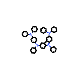 c1ccc(N(c2ccccc2)c2ccc(N(c3ccccc3)c3ccc4c(c3)c3cc(N(c5ccccc5)c5ccccc5)ccc3n4-c3ccccc3)cc2)cc1